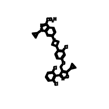 O=C(O)c1nn(C2CC2)c2cc(N3CC(c4ccc(OCc5c(-c6c(Cl)cccc6Cl)noc5C5CC5)cc4Cl)C3)ccc12